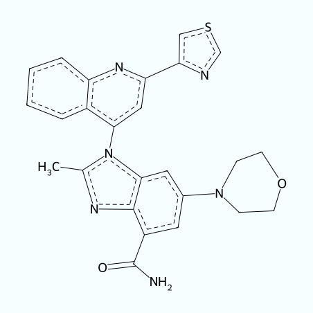 Cc1nc2c(C(N)=O)cc(N3CCOCC3)cc2n1-c1cc(-c2cscn2)nc2ccccc12